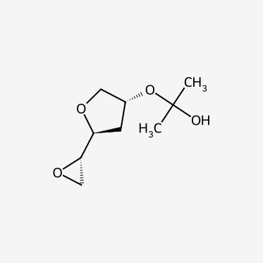 CC(C)(O)O[C@H]1CO[C@H]([C@@H]2CO2)C1